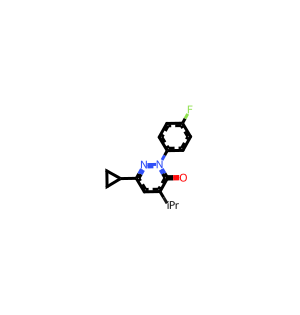 CC(C)c1cc(C2CC2)nn(-c2ccc(F)cc2)c1=O